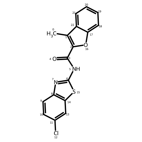 Cc1c(C(=O)Nc2nc3ccc(Cl)cc3s2)oc2ccccc12